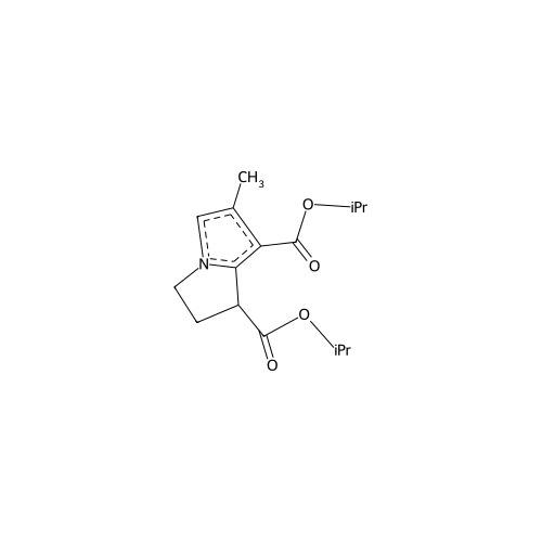 Cc1cn2c(c1C(=O)OC(C)C)C(C(=O)OC(C)C)CC2